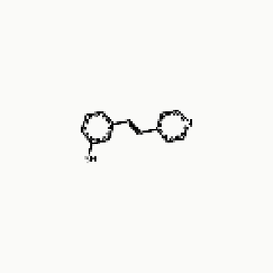 Sc1cccc(C=Cc2ccncc2)c1